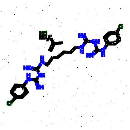 C=C(C)C(=O)O.Cl.N=C(NCCCCCCNC(=N)NC(=N)Nc1ccc(Cl)cc1)NC(=N)Nc1ccc(Cl)cc1